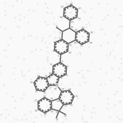 CC1c2ccc(-c3ccc4c(c3)c3ccccc3n4-c3cccc4c3-c3ccccc3C4(C)C)cc2-c2ccccc2C1c1ccccc1